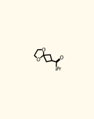 CC(C)C(=O)C1CC2(C1)OCCO2